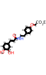 CCOC(=O)COc1ccc(CCNC(=O)C=Cc2ccc(O)c(O)c2)cc1